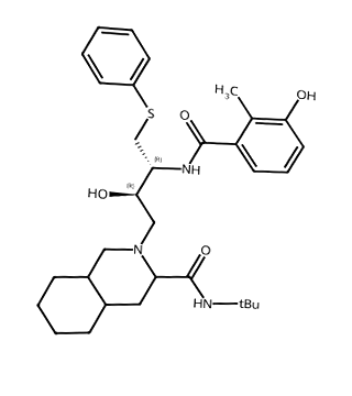 Cc1c(O)cccc1C(=O)N[C@@H](CSc1ccccc1)[C@H](O)CN1CC2CCCCC2CC1C(=O)NC(C)(C)C